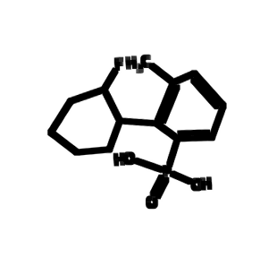 Cc1cccc(P(=O)(O)O)c1C1CCCCC1F